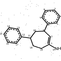 NC1=CC(c2ccccc2)CC(c2ccccc2)CC1